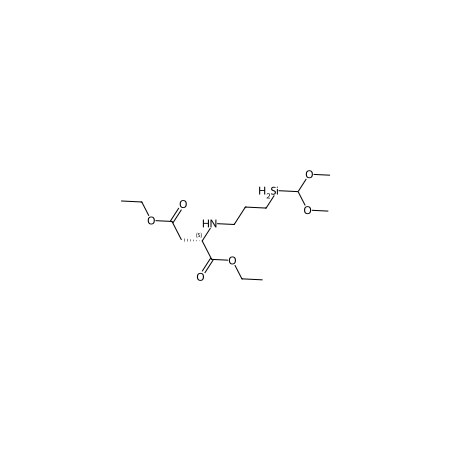 CCOC(=O)C[C@H](NCCC[SiH2]C(OC)OC)C(=O)OCC